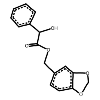 O=C(OCc1ccc2c(c1)OCO2)C(O)c1ccccc1